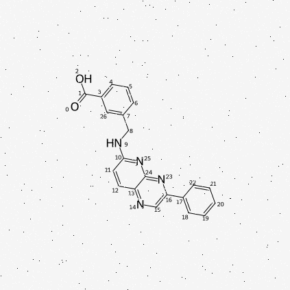 O=C(O)c1cccc(CNc2ccc3ncc(-c4ccccc4)nc3n2)c1